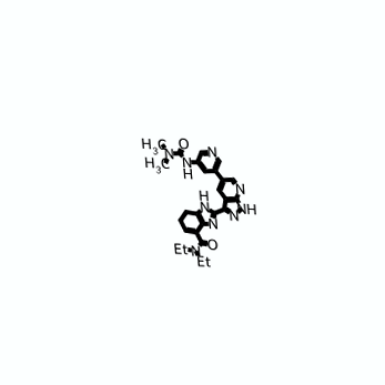 CCN(CC)C(=O)C1=CCCc2[nH]c(-c3n[nH]c4ncc(-c5cncc(NC(=O)N(C)C)c5)cc34)nc21